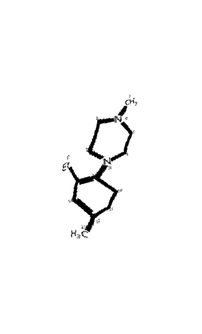 CCC1=C(N2CCN(C)CC2)CCC(C)=C1